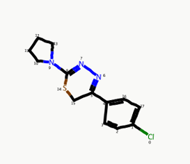 Clc1ccc(C2=NN=C(N3CCCC3)SC2)cc1